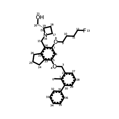 Cc1c(COc2cc(OCCCCF)c(CN3CC[C@H]3CO)c3c2CCC3)cccc1-c1ccccc1